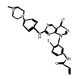 C=CC(=O)Nc1ccc(F)c(-n2cnc(=O)c3cnc(Nc4ccc(N5CCN(C)CC5)cc4)nc32)c1